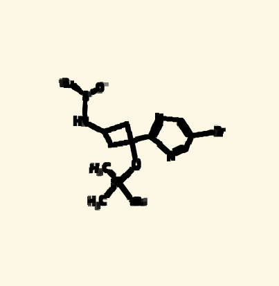 CC(C)(C)[S@@+]([O-])NC1CC(O[Si](C)(C)C(C)(C)C)(c2ncc(Br)cn2)C1